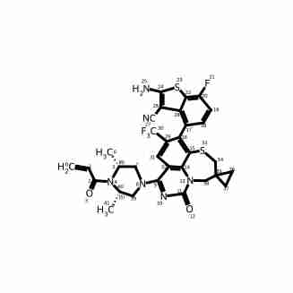 C=CC(=O)N1[C@H](C)CN(c2nc(=O)n3c4c(c(-c5ccc(F)c6sc(N)c(C#N)c56)c(C(F)(F)F)cc24)SCC2(CC2)C3)C[C@@H]1C